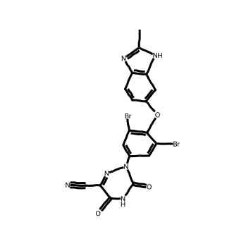 Cc1nc2ccc(Oc3c(Br)cc(-n4nc(C#N)c(=O)[nH]c4=O)cc3Br)cc2[nH]1